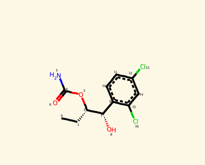 CC[C@H](OC(N)=O)[C@@H](O)c1ccc(Cl)cc1Cl